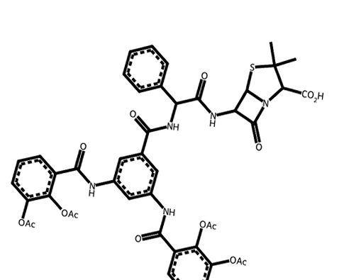 CC(=O)Oc1cccc(C(=O)Nc2cc(NC(=O)c3cccc(OC(C)=O)c3OC(C)=O)cc(C(=O)NC(C(=O)NC3C(=O)N4C3SC(C)(C)C4C(=O)O)c3ccccc3)c2)c1OC(C)=O